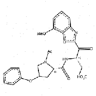 COc1cccc2nc(C(=O)[C@H](CC(=O)O)NC(=O)[C@@H]3CC(Oc4ccccc4)CN3C(C)=O)oc12